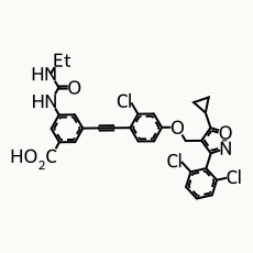 CCNC(=O)Nc1cc(C#Cc2ccc(OCc3c(-c4c(Cl)cccc4Cl)noc3C3CC3)cc2Cl)cc(C(=O)O)c1